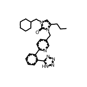 CCCc1cn(CC2CCCCC2)c(=O)n1Cc1ccc(-c2ccccc2-c2nnn[nH]2)nc1